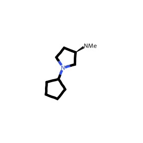 CN[C@@H]1CCN(C2CCCC2)C1